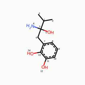 CC(C)C(N)(O)Cc1cccc(O)c1O